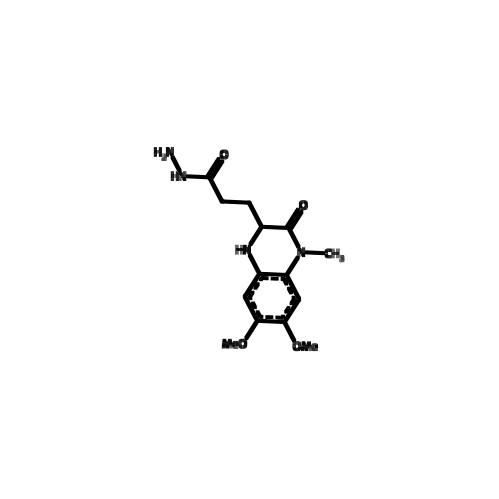 COc1cc2c(cc1OC)N(C)C(=O)C(CCC(=O)NN)N2